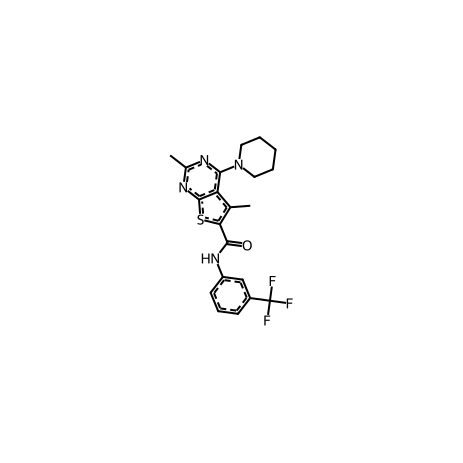 Cc1nc(N2CCCCC2)c2c(C)c(C(=O)Nc3cccc(C(F)(F)F)c3)sc2n1